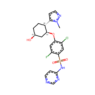 Cn1nccc1[C@H]1CC[C@H](O)C[C@@H]1Oc1cc(F)c(S(=O)(=O)Nc2ccncn2)cc1Cl